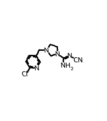 N#CN=C(N)N1CCN(Cc2ccc(Cl)nc2)C1